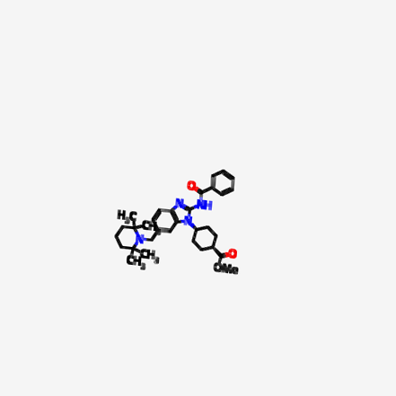 COC(=O)[C@H]1CC[C@@H](n2c(NC(=O)c3ccccc3)nc3ccc(CN4C(C)(C)CCCC4(C)C)cc32)CC1